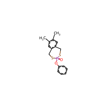 Cc1cc2c(cc1C)CSP(=O)(Oc1ccccc1)SC2